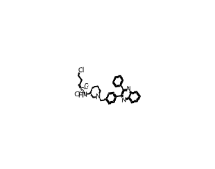 O=S(=O)(CCCCl)NC1CCCN(Cc2ccc(-c3nc4ccccc4nc3-c3ccccc3)cc2)C1